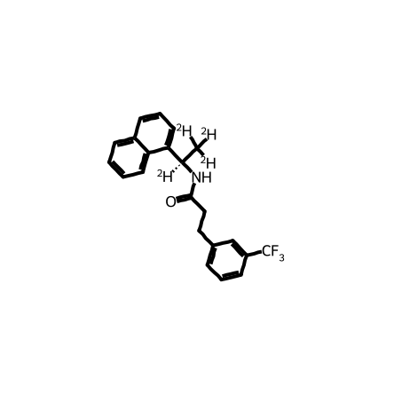 [2H]C([2H])([2H])[C@@]([2H])(NC(=O)CCc1cccc(C(F)(F)F)c1)c1cccc2ccccc12